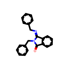 O=C1c2ccccc2C(=NCc2ccccc2)N1Cc1ccccc1